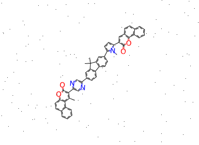 Cc1c(-c2cnc(-c3ccc4c(c3)C(C)(C)c3cc(-c5ccc(-c6cc7ccc8ccccc8c7oc6=O)n5C)ccc3-4)cn2)c(=O)oc2ccc3ccccc3c12